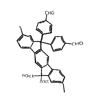 CCCCCCCCC1(CCCCCCCC)c2cc(C)ccc2-c2cc3c(cc21)-c1ccc(C)cc1C3(c1ccc(C=O)cc1)c1ccc(C=O)cc1